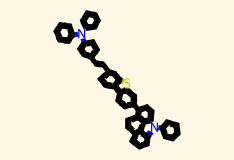 C(=C\c1ccc2c(c1)sc1cc(-c3ccc4c5c3ccc3cccc(c35)n4-c3ccccc3)ccc12)/c1ccc(N(c2ccccc2)c2ccccc2)cc1